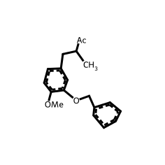 COc1ccc(CC(C)C(C)=O)cc1OCc1ccccc1